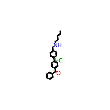 CC=CCCNCc1ccc(-c2ccc(C(=O)c3ccccc3)cc2)cc1.Cl